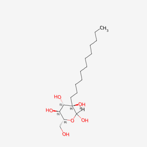 [2H]C1(O)O[C@H](CO)[C@@H](O)[C@H](O)[C@]1(O)CCCCCCCCCCCC